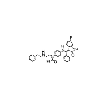 CCC(=O)N(CCNCCc1ccccc1)c1ccc(NC(=C2C(=O)Nc3cc(F)ccc32)c2ccccc2)cc1